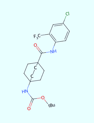 CC(C)(C)OC(=O)NC12CCC(C(=O)Nc3ccc(Cl)cc3C(F)(F)F)(CC1)CC2